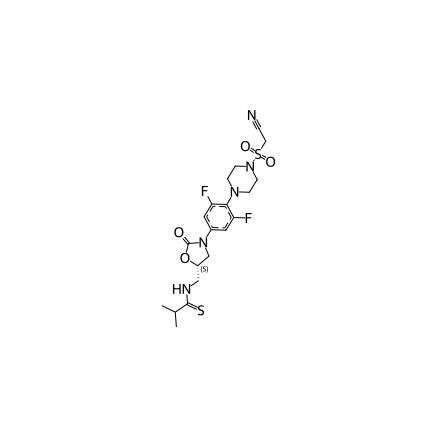 CC(C)C(=S)NC[C@H]1CN(c2cc(F)c(N3CCN(S(=O)(=O)CC#N)CC3)c(F)c2)C(=O)O1